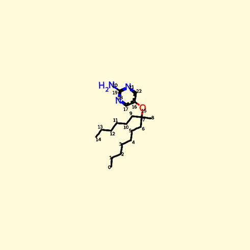 CCCCCCCC(C)(CCCCCC)Oc1cnc(N)nc1